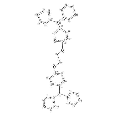 c1ccc(P(c2ccccc2)c2ccc(OCCOc3ccc(P(c4ccccc4)c4ccccc4)cc3)cc2)cc1